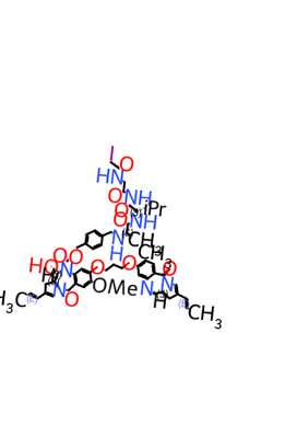 C/C=C/C1=CN2C(=O)c3cc(C)c(OCCCOc4cc5c(cc4OC)C(=O)N4C=C(/C=C/C)C[C@H]4[C@H](O)N5C(=O)OCc4ccc(CN[C@@H](C)C(=O)N[C@H](C(=O)NC(=O)CNC(=O)CI)C(C)C)cc4)cc3N=C[C@@H]2C1